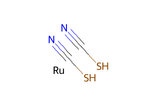 N#CS.N#CS.[Ru]